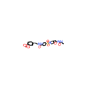 C=CC(=O)Nc1cc2c(o1)CN(S(=O)(=O)c1ccc(C(=O)NCCc3ccc4c(c3)OCO4)cc1)C2